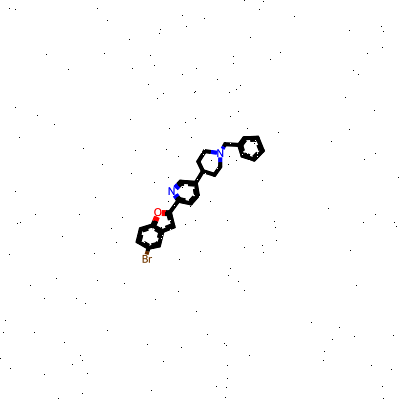 Brc1ccc2oc(-c3ccc(C4CCN(Cc5ccccc5)CC4)cn3)cc2c1